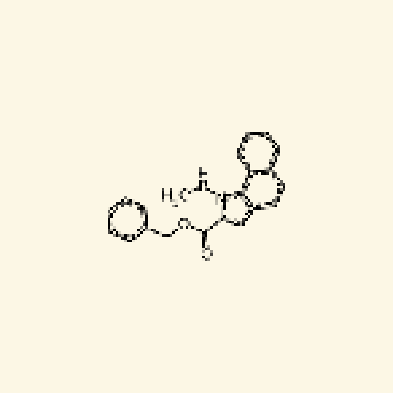 CBn1c(C(=O)OCc2ccccc2)cc2ccc3ccccc3c21